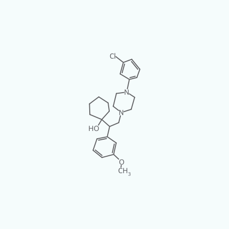 COc1cccc(C(CN2CCN(c3cccc(Cl)c3)CC2)C2(O)CCCCC2)c1